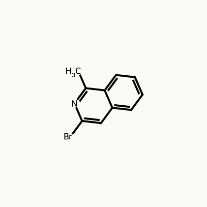 Cc1nc(Br)cc2ccccc12